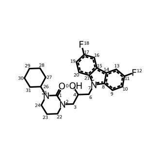 O=C1N(CC(O)Cn2c3ccc(F)cc3c3cc(F)ccc32)CCCN1C1CCCCC1